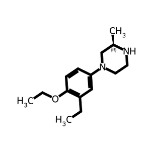 CCOc1ccc(N2CCN[C@H](C)C2)cc1CC